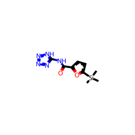 C[Si](C)(C)c1ccc(C(=O)Nc2nnn[nH]2)o1